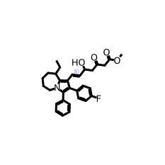 CCC1CCCCn2c(-c3ccccc3)c(-c3ccc(F)cc3)c(/C=C/C(O)CC(=O)CC(=O)OC)c21